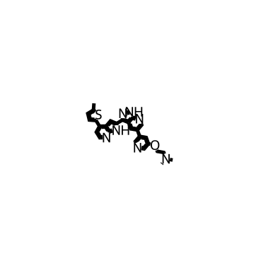 Cc1ccc(-c2ccnc3[nH]c(-c4n[nH]c5ncc(-c6cncc(OCCN(C)C)c6)cc45)cc23)s1